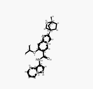 CC(C)Oc1cc2nc([C@]34CC[C@](C)(C3)OC4)cn2cc1C(=O)Nc1cnn2cccnc12